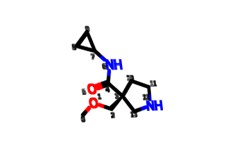 COC[C@@]1(C(=O)NC2CC2)CCNC1